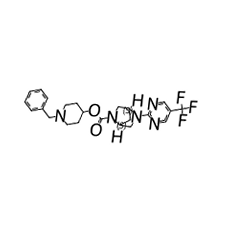 O=C(OC1CCN(Cc2ccccc2)CC1)N1C[C@@H]2C[C@H]1CN2c1ncc(C(F)(F)F)cn1